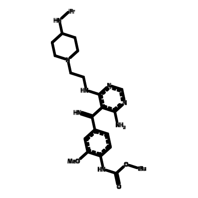 COc1cc(C(=N)c2c(N)ncnc2NCCN2CCC(NC(C)C)CC2)ccc1NC(=O)OC(C)(C)C